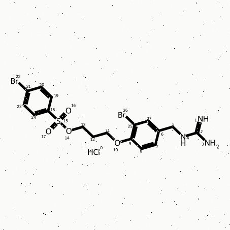 Cl.N=C(N)NCc1ccc(OCCCOS(=O)(=O)c2ccc(Br)cc2)c(Br)c1